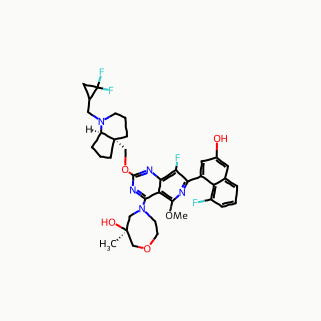 COc1nc(-c2cc(O)cc3cccc(F)c23)c(F)c2nc(OC[C@]34CCC[C@H]3N(CC3CC3(F)F)CCC4)nc(N3CCOC[C@@](C)(O)C3)c12